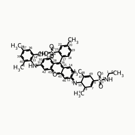 CCNS(=O)(=O)C1=CC(C)C(/N=c2\ccc3c(-c4ccc(C)cc4S(=O)(=O)O)c4ccc(Nc5c(C)cc(C)cc5C)cc4oc-3c2)C(C)=C1